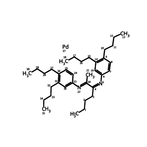 CCCCC(=Nc1ccc(CCCC)c(CCCC)c1)C(C)=Nc1ccc(CCCC)c(CCCC)c1.[Pd]